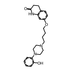 O=C1CCc2ccc(OCCCCN3CCN(c4ccccc4O)CC3)cc2N1